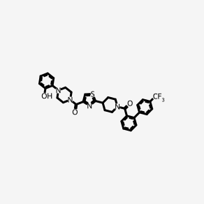 O=C(c1csc(C2CCN(C(=O)c3ccccc3-c3ccc(C(F)(F)F)cc3)CC2)n1)N1CCN(c2ccccc2O)CC1